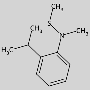 CSN(C)c1ccccc1C(C)C